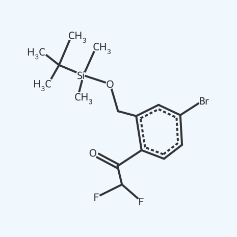 CC(C)(C)[Si](C)(C)OCc1cc(Br)ccc1C(=O)C(F)F